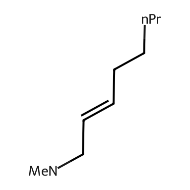 CCCCCC=CCNC